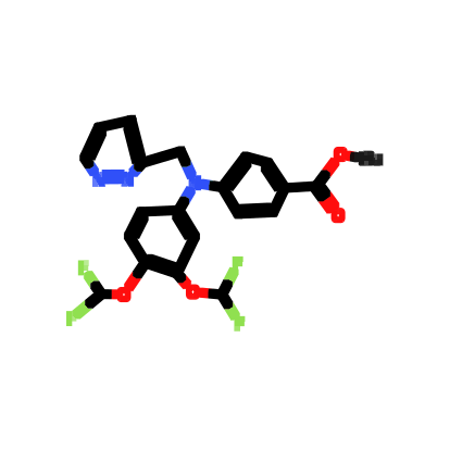 CC(C)(C)OC(=O)c1ccc(N(Cc2cccnn2)c2ccc(OC(F)F)c(OC(F)F)c2)cc1